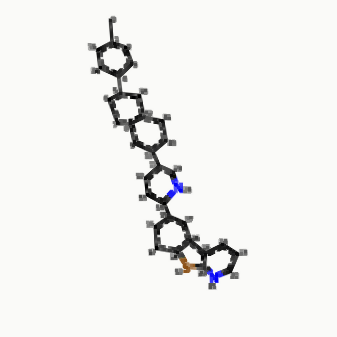 Cc1ccc(-c2ccc3cc(-c4ccc(-c5ccc6sc7ncccc7c6c5)nc4)ccc3c2)cc1